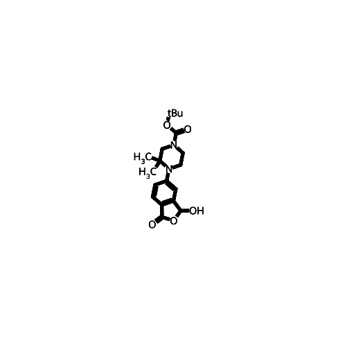 CC(C)(C)OC(=O)N1CCN(c2ccc3c(c2)C(O)OC3=O)C(C)(C)C1